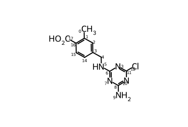 Cc1cc(CNc2nc(N)nc(Cl)n2)ccc1C(=O)O